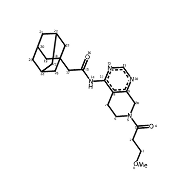 COCCC(=O)N1CCc2c(ncnc2NC(=O)CC23CC4CC(CC(C4)C2)C3)C1